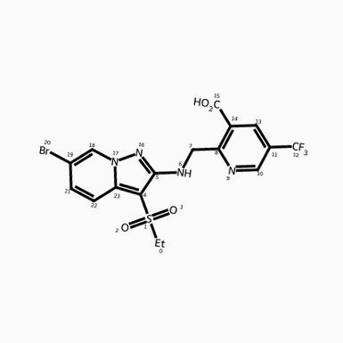 CCS(=O)(=O)c1c(NCc2ncc(C(F)(F)F)cc2C(=O)O)nn2cc(Br)ccc12